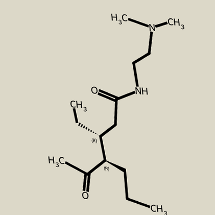 CCC[C@@H](C(C)=O)[C@H](CC)CC(=O)NCCN(C)C